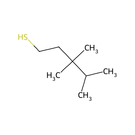 CC(C)C(C)(C)CCS